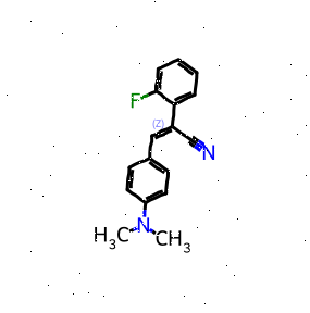 CN(C)c1ccc(/C=C(\C#N)c2ccccc2F)cc1